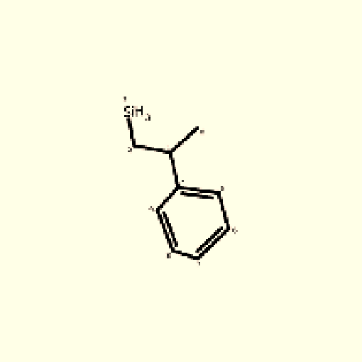 CC(C[SiH3])c1ccccc1